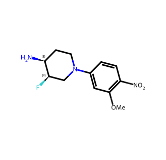 COc1cc(N2CC[C@H](N)[C@H](F)C2)ccc1[N+](=O)[O-]